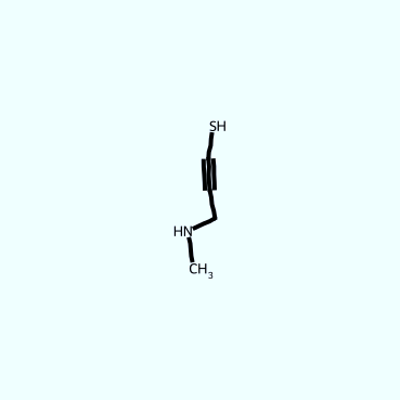 CNCC#CS